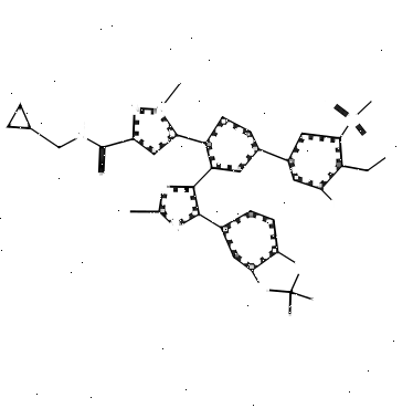 Cc1nc(-c2ccc3c(c2)OC(F)(F)O3)c(-c2cc(-c3cc(F)c(CO)c(S(C)(=O)=O)c3)ccc2-c2cc(C(=O)NCC3CC3)nn2C)o1